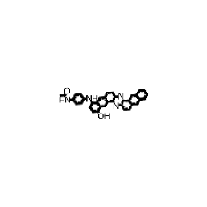 CC(=O)Nc1ccc(Nc2ccc(O)c3cc4c(ccc5nc6c(ccc7cc8ccccc8cc76)nc54)cc23)cc1